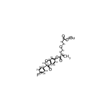 CN(CCOCCC(=O)OC(C)(C)C)C(=O)Oc1ccc2c(c1)OCC(c1ccc(F)cc1)C2=O